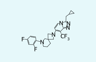 Fc1ccc(N2CCCC3(C2)CN(c2ccn4c(CC5CC5)nnc4c2C(F)(F)F)C3)c(F)c1